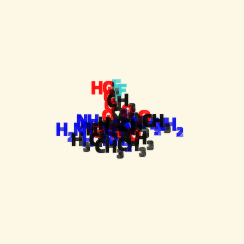 CC[C@H](C)[C@H](NC(=O)[C@@H](N)CCCCN)C(=O)NC(C(C)=O)(C(=O)[C@H](CCCNC(=N)N)NC(=O)[C@@H](N)C(C)C)c1cc(OC)cc2c1C(C)(C)c1ccc(OC)cc1O2.O=C(O)C(F)(F)F